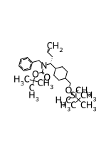 C=CC[C@H](C1CCC(CO[Si](C)(C)C(C)(C)C)CC1)N(Cc1ccccc1)C(=O)OC(C)(C)C